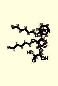 CCCCCCOc1nsnc1C1(OCCCCCC)CN2CCC1CC2.O=C(O)C(=O)O